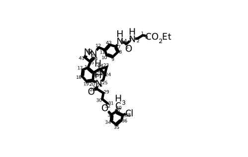 CCOC(=O)CCNC(=O)Nc1cccc(Cn2cc(-c3cccc4c3[C@H]3C[C@H]3CN4C(=O)CCCOc3cccc(Cl)c3C)cn2)c1